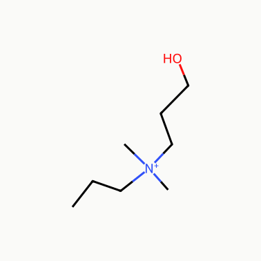 CCC[N+](C)(C)CCCO